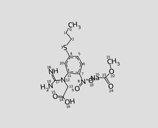 CCCSc1ccc([N+](=O)[O-])c(N(CC(=O)O)C(=N)N)c1.CO[C](=O)[Na]